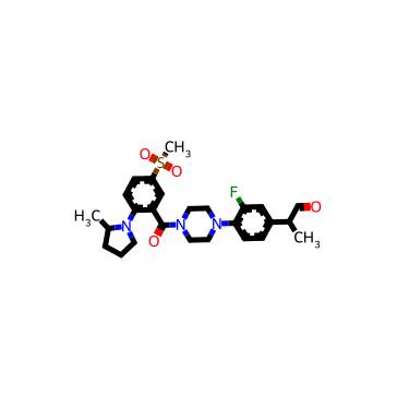 CC(C=O)c1ccc(N2CCN(C(=O)c3cc(S(C)(=O)=O)ccc3N3CCCC3C)CC2)c(F)c1